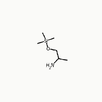 CC(N)CO[Si](C)(C)C